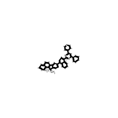 CC1(C)c2ccc(-c3ccc(-c4nc(-c5ccccc5)cc(-c5ccncc5)n4)c4ccccc34)cc2-c2ccc3ccccc3c21